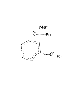 CC(C)(C)[O-].[K+].[Na+].[O-]c1ccccc1